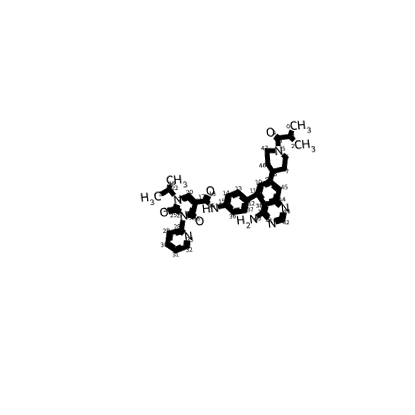 CC(C)C(=O)N1CCC(c2cc(-c3ccc(NC(=O)c4cn(C(C)C)c(=O)n(-c5ccccn5)c4=O)cc3)c3c(N)ncnc3c2)CC1